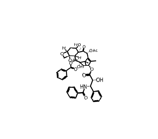 CC(=O)O[C@H]1C(=O)[C@]2(C)C(O)C[C@H]3OC[C@@]3(OC(C)=O)[C@H]2[C@H](OC(=O)c2ccccc2)[C@]2(O)C[C@H](OC(=O)[C@H](O)[C@@H](NC(=O)c3ccccc3)c3ccccc3)C(C)=C1C2(C)C